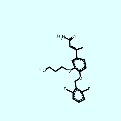 CC(=CC(N)=O)c1ccc(OCc2c(F)cccc2F)c(OCCCO)c1